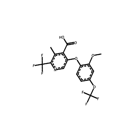 COc1cc(OC(F)(F)F)ccc1Oc1cnc(C(F)(F)F)c(C)c1C(=O)O